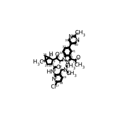 CC(=O)c1nn(CC(=O)C2[C@H](C(=O)Nc3nc(Cl)ccc3CN(C)C)C[C@@]3(C)C[C@@H]23)c2ccc(-c3cnc(C)nc3)cc12